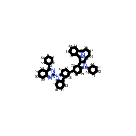 c1ccc(-c2nc(-n3c4ccccc4c4cc(-c5ccc6c(c5)c5c(c7cccc8c9ccccc9c5n87)n6-c5ccccc5)ccc43)nc3ccccc23)cc1